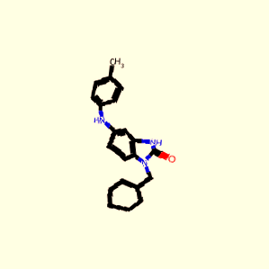 Cc1ccc(Nc2ccc3c(c2)[nH]c(=O)n3CC2CCCCC2)cc1